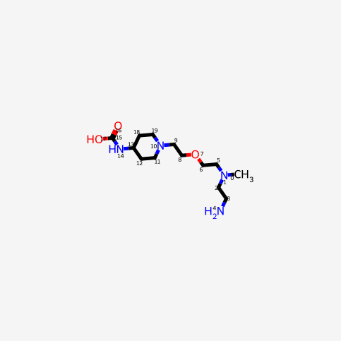 CN(CCN)CCOCCN1CCC(NC(=O)O)CC1